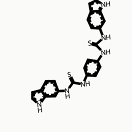 S=C(Nc1ccc(NC(=S)Nc2ccc3cc[nH]c3c2)cc1)Nc1ccc2cc[nH]c2c1